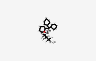 O=S(=O)(O)C(F)(F)C(F)(F)C(F)(F)S(=O)(=O)NC(C1CCCCC1)(C1CCCCC1)C1CCCCC1